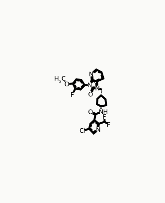 COc1ccc(-n2c(=O)n(C[C@H]3CC[C@H](NC(=O)c4cc(Cl)cnc4C(F)F)CC3)c3cccnc32)cc1F